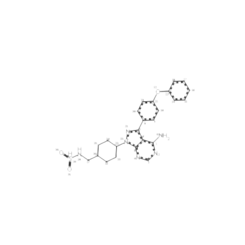 Nc1ncnc2c1c(-c1ccc(Oc3ccccc3)cc1)nn2C1CCC(CN[SH](=O)=O)CC1